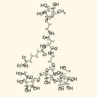 CCNC(=O)CCCCC(=O)NC(CC(=O)NCCO[C@@H]1O[C@@H](C)[C@@H](O)[C@@H](O)[C@@H]1O)C(=O)NCCO[C@H]1O[C@H](CO[C@H]2O[C@H](CO)[C@@H](O)[C@H](O)[C@@H]2O)[C@@H](O)[C@H](O[C@H]2O[C@H](CO)[C@@H](O)[C@H](O)[C@@H]2O)[C@@H]1O